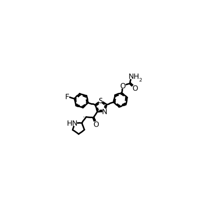 NC(=O)Oc1cccc(-c2nc(C(=O)[CH]C3CCCN3)c(-c3ccc(F)cc3)s2)c1